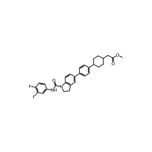 COC(=O)CC1CCC(c2ccc(-c3ccc4c(c3)CCN4C(=O)Nc3ccc(F)c(F)c3)cc2)CC1